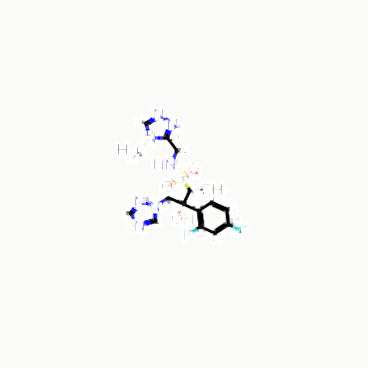 C[C@H]([C@](O)(Cn1cncn1)c1ccc(F)cc1F)S(=O)(=O)NCc1nncn1C